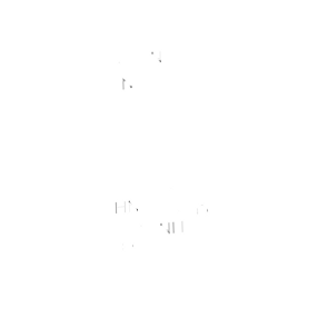 O=c1[nH]c(C2CC=C(c3cccc4cncn34)CC2)c(Cc2ccccc2)c(=O)[nH]1